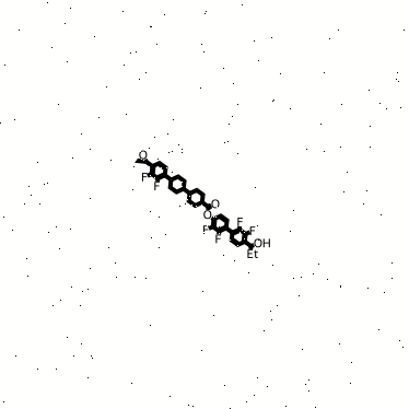 CCC(O)c1ccc(-c2ccc(OC(=O)C3CCC(C4CCC(c5ccc(C6CO6)c(F)c5F)CC4)CC3)c(F)c2F)c(F)c1F